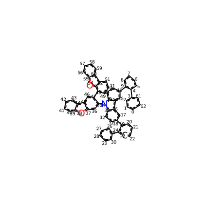 c1ccc(-c2ccccc2-c2ccc3c(c2)c2cc(-c4ccccc4-c4ccccc4)ccc2n3-c2cc3oc4ccccc4c3cc2-c2cccc3c2oc2ccccc23)cc1